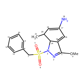 COC1=NN(S(=O)(=O)Cc2ccccc2)C2C1=CC(N)=CC2C